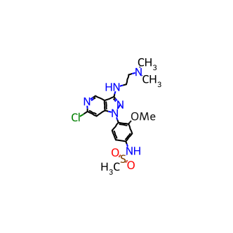 COc1cc(NS(C)(=O)=O)ccc1-n1nc(NCCN(C)C)c2cnc(Cl)cc21